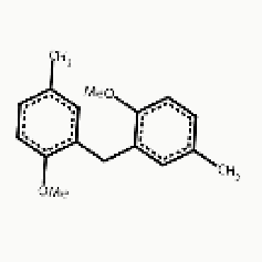 COc1ccc(C)cc1Cc1cc(C)ccc1OC